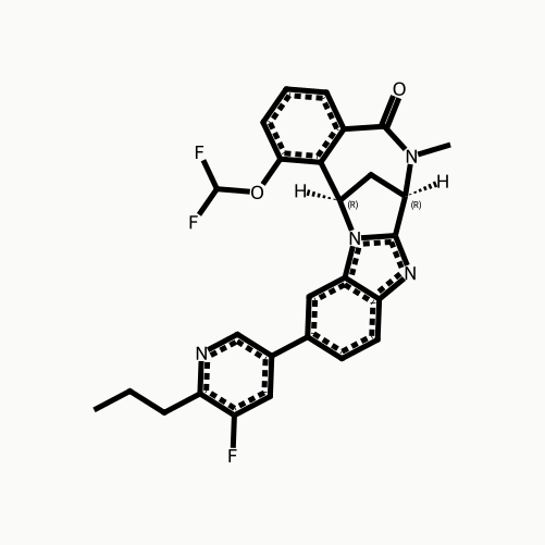 CCCc1ncc(-c2ccc3nc4n(c3c2)[C@@H]2C[C@H]4N(C)C(=O)c3cccc(OC(F)F)c32)cc1F